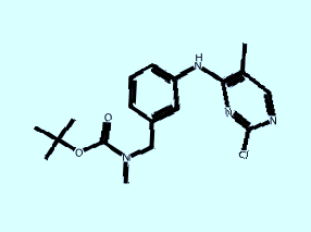 Cc1cnc(Cl)nc1Nc1cccc(CN(C)C(=O)OC(C)(C)C)c1